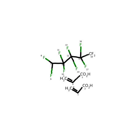 C=CC(=O)O.C=CC(=O)O.FC(F)C(F)(F)C(F)(F)C(F)(F)C(F)(F)F